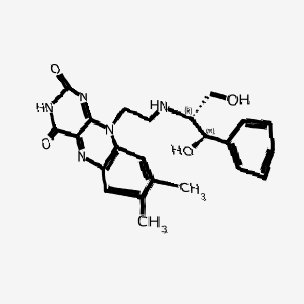 Cc1cc2nc3c(=O)[nH]c(=O)nc-3n(CCN[C@H](CO)[C@H](O)c3ccccc3)c2cc1C